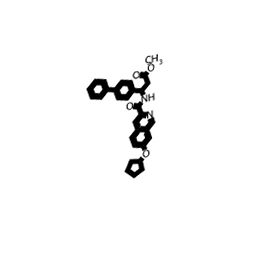 COC(=O)CC(NC(=O)c1cc2ccc(OC3CCCC3)cc2cn1)c1ccc(-c2ccccc2)cc1